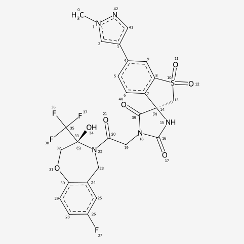 Cn1cc(-c2ccc3c(c2)S(=O)(=O)C[C@@]32NC(=O)N(CC(=O)N3Cc4cc(F)ccc4OC[C@]3(O)C(F)(F)F)C2=O)cn1